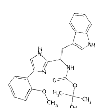 COc1ccccc1-c1c[nH]c([C@H](Cc2c[nH]c3ccccc23)NC(=O)OC(C)(C)C)n1